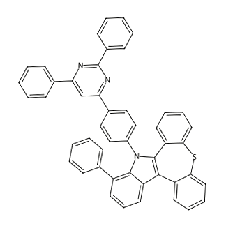 c1ccc(-c2cc(-c3ccc(-n4c5c(c6cccc(-c7ccccc7)c64)-c4ccccc4Sc4ccccc4-5)cc3)nc(-c3ccccc3)n2)cc1